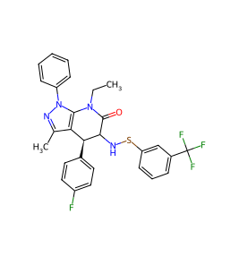 CCN1C(=O)C(NSc2cccc(C(F)(F)F)c2)[C@@H](c2ccc(F)cc2)c2c(C)nn(-c3ccccc3)c21